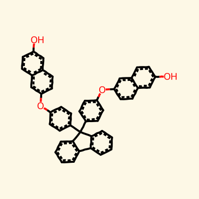 Oc1ccc2cc(Oc3ccc(C4(c5ccc(Oc6ccc7cc(O)ccc7c6)cc5)c5ccccc5-c5ccccc54)cc3)ccc2c1